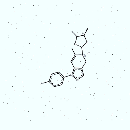 CC1=Cc2c(cnn2-c2ccc(F)cc2)C[C@]1(C)C1OC(C)[C@@H](C)O1